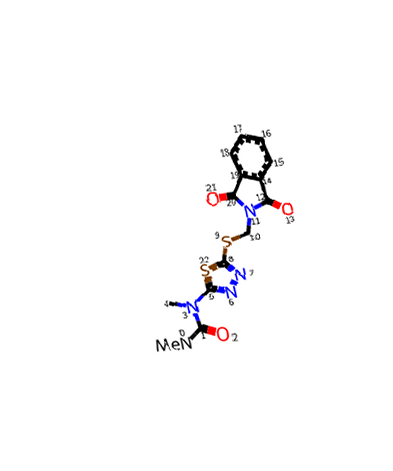 CNC(=O)N(C)c1nnc(SCN2C(=O)c3ccccc3C2=O)s1